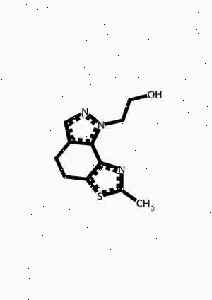 Cc1nc2c(s1)CCc1cnn(CCO)c1-2